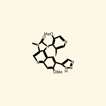 COc1cc2ncc3c(c2cc1-c1cnn[nH]1)n(-c1c(F)cncc1OC)c(=O)n3C